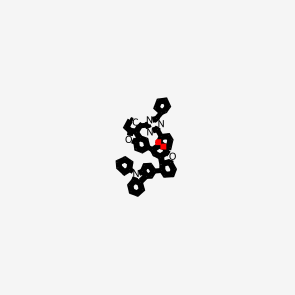 c1ccc(-c2nc(-c3ccccc3)nc(-c3cccc4oc5ccc(-c6ccc7oc8cccc(-c9ccc%10c(c9)c9ccccc9n%10-c9ccccc9)c8c7c6)cc5c34)n2)cc1